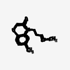 COCCCN1C(=O)COc2ccc(C)cc21